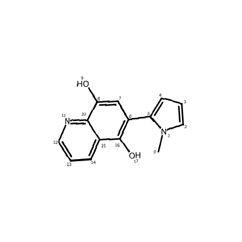 Cn1cccc1-c1cc(O)c2ncccc2c1O